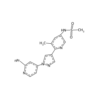 CCCc1cc(-n2cc(-c3ncc(NS(C)(=O)=O)cc3C)cn2)ccn1